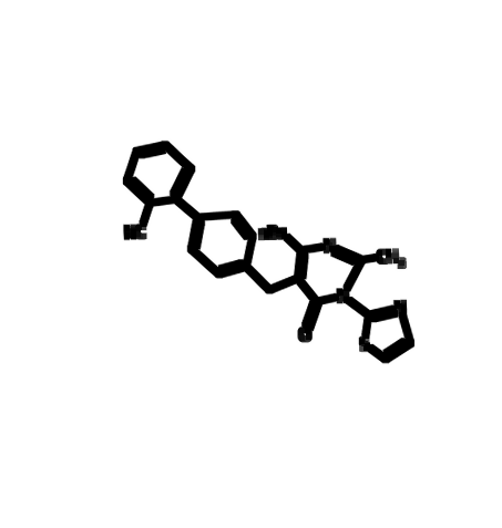 CCCCc1nc(C)n(-c2nccs2)c(=O)c1Cc1ccc(-c2ccccc2C#N)cc1